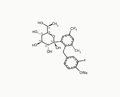 COc1ccc(Cc2c(C)cc(C)cc2[C@@]2(O)O[C@H]([C@H](C)O)[C@@H](O)[C@H](O)[C@H]2O)cc1F